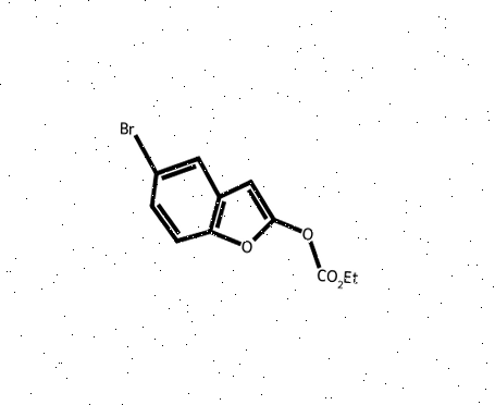 CCOC(=O)Oc1cc2cc(Br)ccc2o1